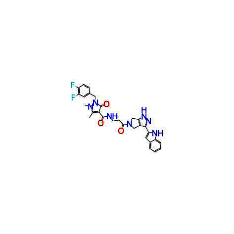 Cc1c(C(=O)NCCC(=O)N2Cc3[nH]nc(-c4cc5ccccc5[nH]4)c3C2)c(=O)n(Cc2ccc(F)c(F)c2)n1C